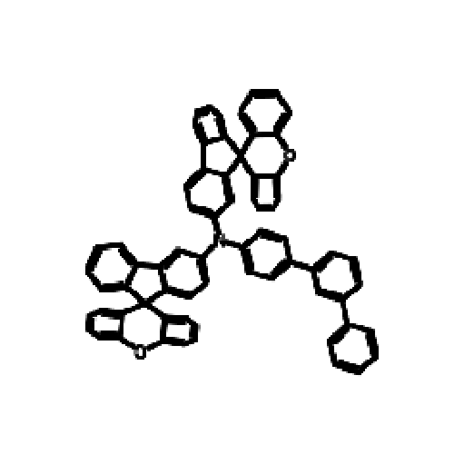 c1ccc(-c2cccc(-c3ccc(N(c4ccc5c(c4)-c4ccccc4C54c5ccccc5Oc5ccccc54)c4ccc5c(c4)C4(c6ccccc6Oc6ccccc64)c4ccccc4-5)cc3)c2)cc1